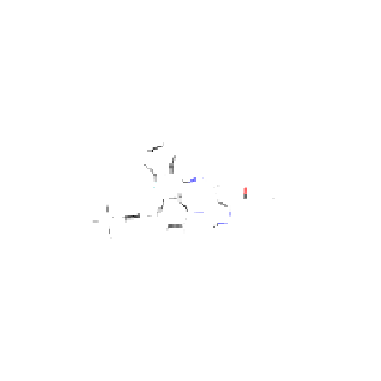 CCOC(=O)c1ncn2c1[C@H](C)N=C(c1ccccc1F)c1cc(C#C[Si](C)(C)C)ccc1-2